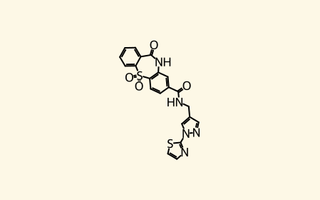 O=C(NCc1cnn(-c2nccs2)c1)c1ccc2c(c1)NC(=O)c1ccccc1S2(=O)=O